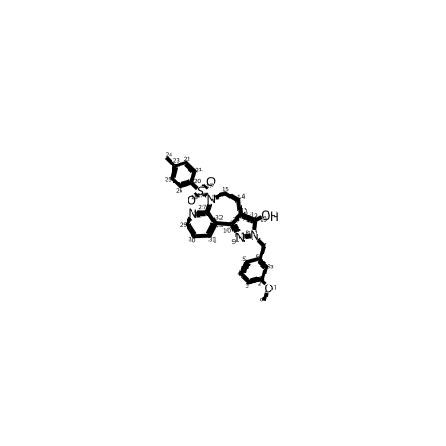 COc1cccc(Cn2nc3c(c2O)CCN(S(=O)(=O)c2ccc(C)cc2)c2ncccc2-3)c1